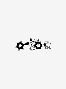 C=C(C)[C@@H]1CC[C@]2(C)O[P@](=S)(C#Cc3ccccc3)S[C@H]2C1